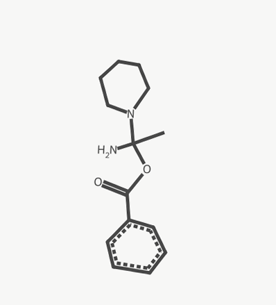 CC(N)(OC(=O)c1ccccc1)N1CCCCC1